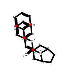 O=C(OCc1ccccc1)N1C2CCC1CC(=Cc1ccccc1)C2